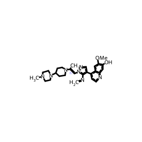 C=Nc1c(-c2ccnc3cc(O)c(OC)cc23)cnn1/C=C(\C)N1CCC(N2CCN(C)CC2)CC1